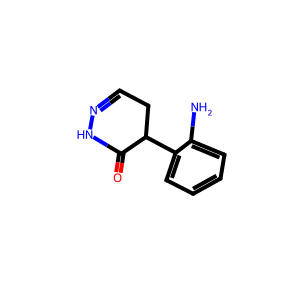 Nc1ccccc1C1CC=NNC1=O